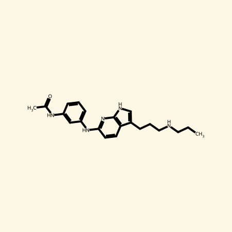 CCCNCCCc1c[nH]c2nc(Nc3cccc(NC(C)=O)c3)ccc12